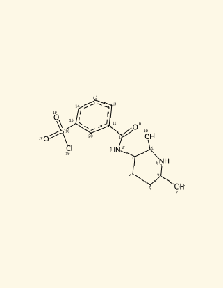 O=C(NC1CCC(O)NC1O)c1cccc(S(=O)(=O)Cl)c1